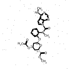 CNc1ncnc2c1ccn2C(=O)N(C)c1ccccc1O[C@H]1C[C@@H](OC(C)=O)C[C@@H](C(=O)OC)O1